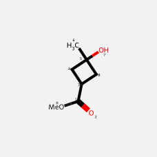 COC(=O)C1CC(C)(O)C1